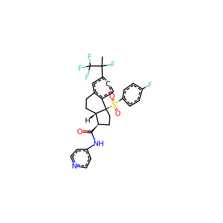 CC(F)(c1ccc2c(c1)CC[C@H]1[C@H](C(=O)Nc3ccncc3)CC[C@@]21S(=O)(=O)c1ccc(F)cc1)C(F)(F)F